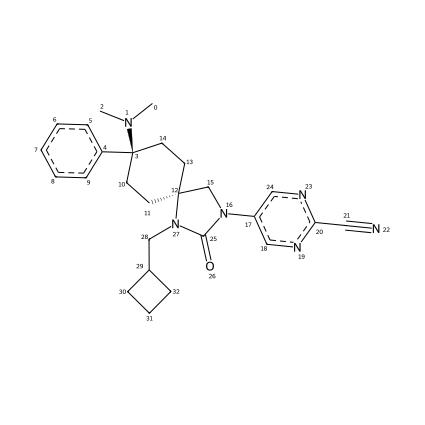 CN(C)[C@]1(c2ccccc2)CC[C@]2(CC1)CN(c1cnc(C#N)nc1)C(=O)N2CC1CCC1